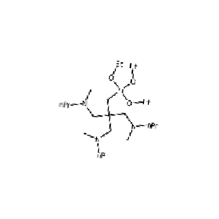 CCCN(C)CC(CN(C)CCC)(CN(C)CCC)C[Si](OCC)(OCC)OCC